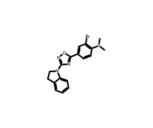 CN(C)c1ccc(-c2nc(N3CCc4ccccc43)no2)cc1Br